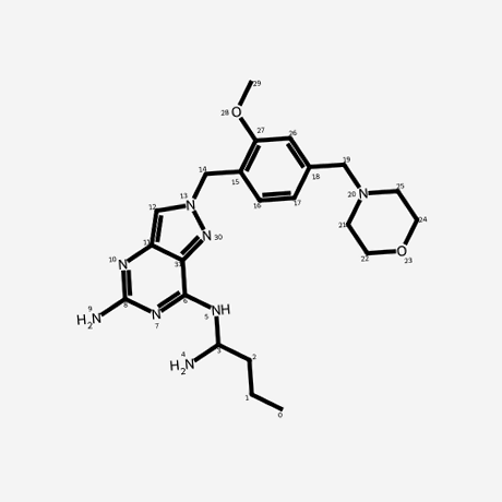 CCCC(N)Nc1nc(N)nc2cn(Cc3ccc(CN4CCOCC4)cc3OC)nc12